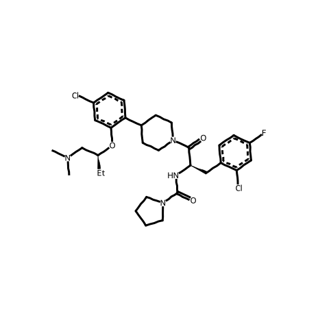 CC[C@@H](CN(C)C)Oc1cc(Cl)ccc1C1CCN(C(=O)[C@@H](Cc2ccc(F)cc2Cl)NC(=O)N2CCCC2)CC1